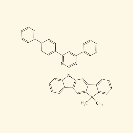 CC1(C)c2ccccc2-c2cc3c(cc21)c1ccccc1n3-c1nc(-c2ccccc2)cc(-c2ccc(-c3ccccc3)cc2)n1